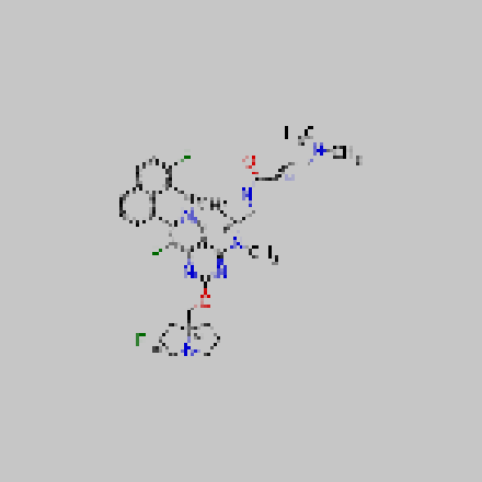 C#Cc1c(F)ccc2cccc(-c3ncc4c(N(C)[C@@H]5CCN(C(=O)/C=C/CN(C)C)C5)nc(OC[C@@]56CCCN5C[C@H](F)C6)nc4c3F)c12